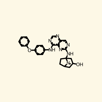 CN1C2CCC1(Nc1ncc3ncnc(Nc4ccc(Oc5ccccc5)cc4)c3n1)CC(O)C2